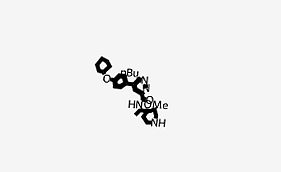 CCCCc1nnc(C(=O)NC(C)C2(OC)CCNCC2)cc1-c1ccc(OC2CCCCC2)cc1